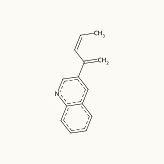 C=C(/C=C\C)c1cnc2ccccc2c1